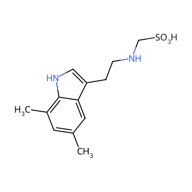 Cc1cc(C)c2[nH]cc(CCNCS(=O)(=O)O)c2c1